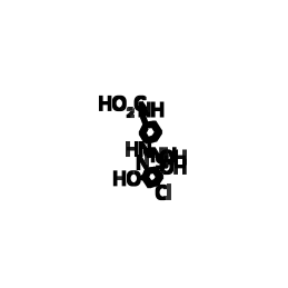 O=C(O)NCc1cccc(NC2=Nc3c(O)cc(Cl)cc3S(O)(O)N2)c1